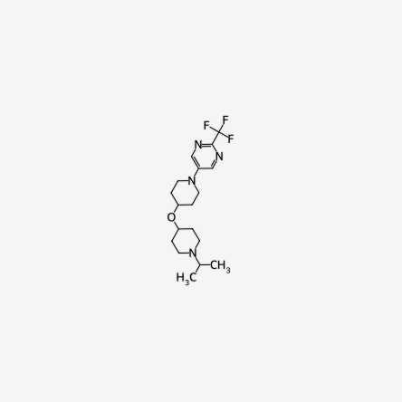 CC(C)N1CCC(OC2CCN(c3cnc(C(F)(F)F)nc3)CC2)CC1